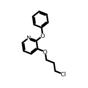 ClCCCOc1cccnc1Oc1ccccc1